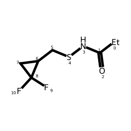 CCC(=O)NSCC1CC1(F)F